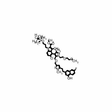 COCCOCCn1nc(C)c(-c2c(Cl)ccc3c2c(C)c(C(=O)OC)n3CCCO[Si](C)(C)C(C)(C)C)c1COCc1cc(CCc2cc(O)c3ccc(F)cc3c2)n(C)n1